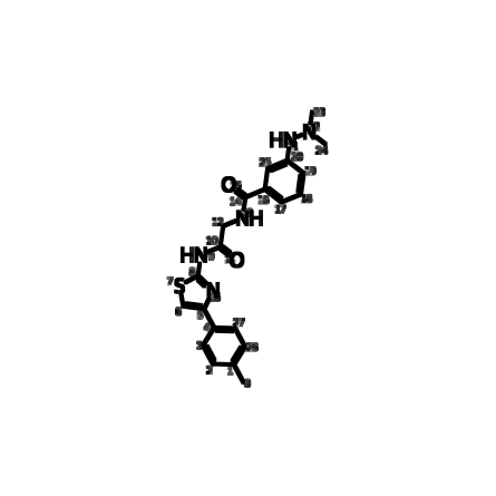 Cc1ccc(-c2csc(NC(=O)CNC(=O)c3cccc(NN(C)C)c3)n2)cc1